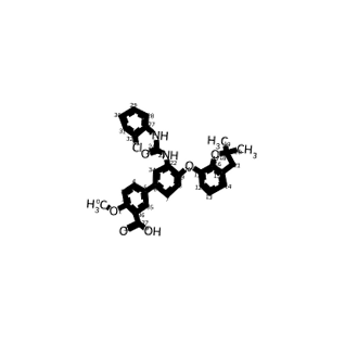 COc1ccc(-c2ccc(Oc3cccc4c3OC(C)(C)C4)c(NC(=O)Nc3ccccc3Cl)c2)cc1C(=O)O